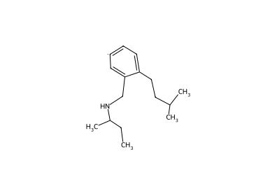 CCC(C)NCc1c[c]ccc1CCC(C)C